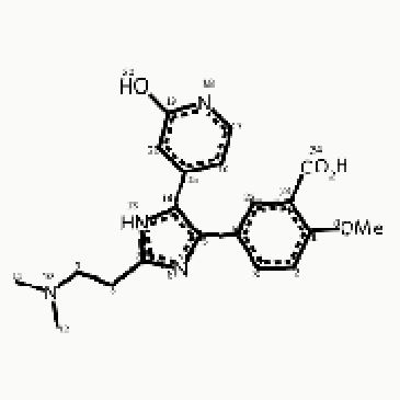 COc1ccc(-c2nc(CCN(C)C)[nH]c2-c2ccnc(O)c2)cc1C(=O)O